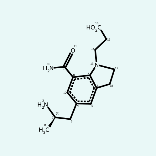 C[C@@H](N)Cc1cc2c(c(C(N)=O)c1)N(CCC(=O)O)CC2